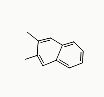 Fc1cc2ccccc2cc1Br